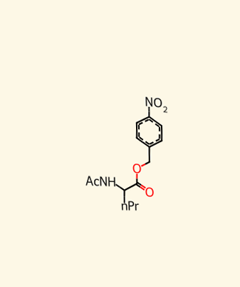 [CH2]CCC(NC(C)=O)C(=O)OCc1ccc([N+](=O)[O-])cc1